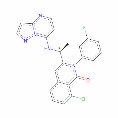 C[C@H](Nc1ccnc2ccnn12)c1cc2cccc(Cl)c2c(=O)n1-c1cccc(F)c1